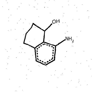 Nc1cccc2c1C(O)CCC2